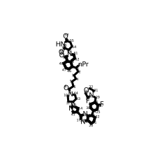 CCCC(CCCCCC(=O)N1CCC(n2cc(-c3cnc4cccc(-c5cc(F)c(CN6CCOCC6)c(F)c5)c4n3)cn2)CC1)c1cccc2c(=O)n(C3CCC(=O)NC3=O)ccc12